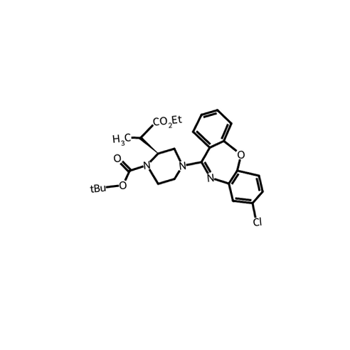 CCOC(=O)C(C)[C@H]1CN(C2=Nc3cc(Cl)ccc3Oc3ccccc32)CCN1C(=O)OC(C)(C)C